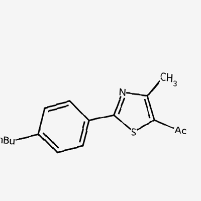 CCCCc1ccc(-c2nc(C)c(C(C)=O)s2)cc1